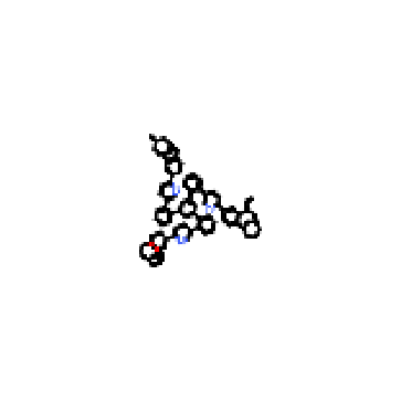 CCC1CC2CCCC(C2)c2ccc(-c3ccc(-c4ccccc4-c4cc(-c5ccccc5-c5ccc(-c6ccc7c(c6)C6CC(=C7)CC(C)C6)nc5)cc(-c5ccccc5-c5ccc(-c6ccc7c(c6)C6CC8CC(CC7C8)C6)nc5)c4)cn3)cc21